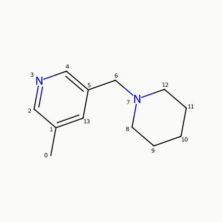 Cc1cncc(CN2CCCCC2)c1